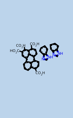 O=C(O)c1cc2c3cccc4c(C(=O)O)ccc(c5ccc(C(=O)O)c(c1C(=O)O)c52)c43.c1ccc2[nH]cnc2c1.c1ccc2[nH]cnc2c1